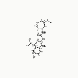 CCN1CCOCC(NC(=O)Cn2nc(C(C)C)c3cc(Br)ccc3c2=O)C1